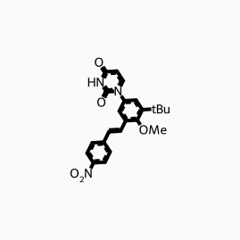 COc1c(C=Cc2ccc([N+](=O)[O-])cc2)cc(-n2ccc(=O)[nH]c2=O)cc1C(C)(C)C